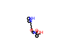 CCc1ccccc1[C@H](C(=O)O)N1CC[C@@H](OCCCCCc2ccc3c(n2)NCCC3)C1